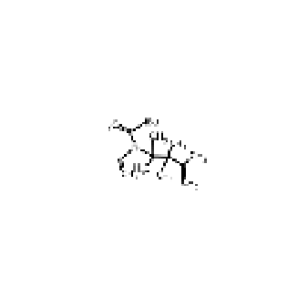 C=CN(C(=C)C(C)CC)C(C)(C)C(C)(C)C(=C)C